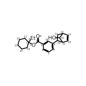 CCC1(OC(=O)c2cccc(C3CC4C=CC3C4O)c2)CCCCC1